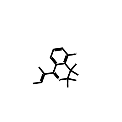 C/C=C(\C)C1=NC(C)(C)C(C)(C)c2c(F)cccc21